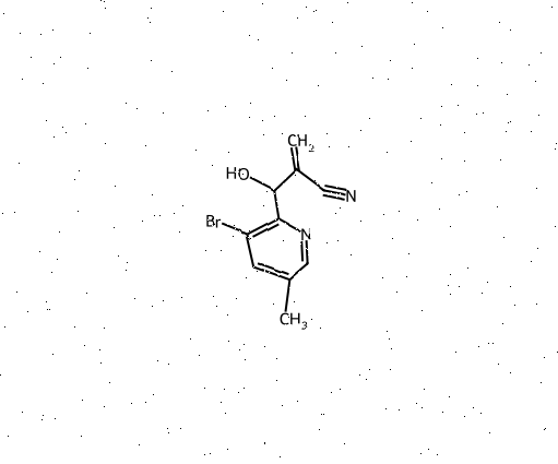 C=C(C#N)C(O)c1ncc(C)cc1Br